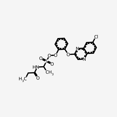 CCC(=O)NC(C)S(=O)(=O)OOc1ccccc1Oc1cnc2ccc(Cl)cc2n1